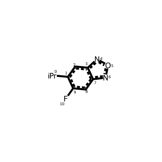 CC(C)c1cc2nonc2cc1F